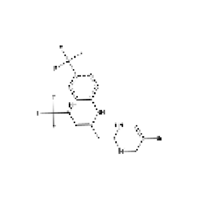 N=C(/C=C(/CC1N=CC(Br)=CN1)Nc1ccc(C(F)(F)F)cc1)C(F)(F)F